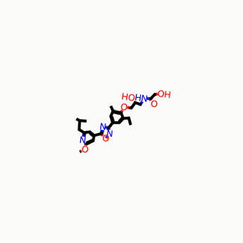 CCc1cc(-c2noc(-c3cc(CC(C)C)nc(OC)c3)n2)cc(C)c1OC[C@H](O)CNC(=O)CO